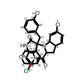 O=C(C1CC2C=CC(Cl)=CC2N1C1(Cc2cccc(Cl)c2)C(=O)Nc2cc(Cl)ccc21)N1CCOCC1